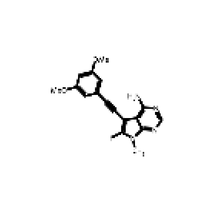 COc1cc(C#Cc2c(I)n(C)c3ncnc(N)c23)cc(OC)c1